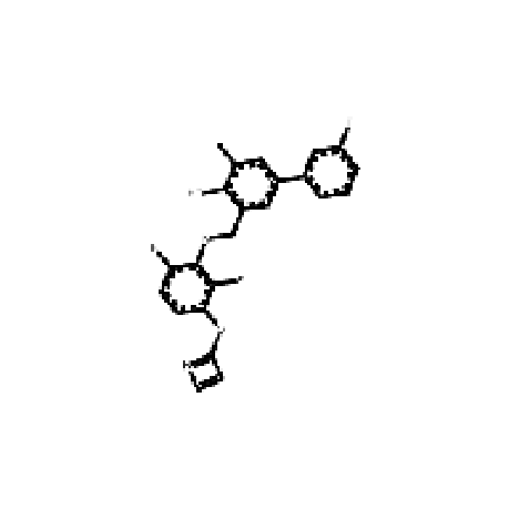 Cc1cc(-c2cccc(F)c2)cc(CNc2c(F)ccc(OC3=NC=C3)c2F)c1O